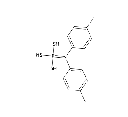 Cc1ccc(S(c2ccc(C)cc2)=P(S)(S)S)cc1